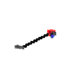 CCCCCC=CCCCCCCCCCCC=CCCCCCOP(=O)(O)C(CC)[N+](C)(C)C